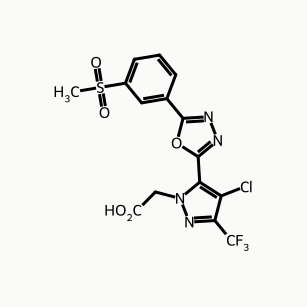 CS(=O)(=O)c1cccc(-c2nnc(-c3c(Cl)c(C(F)(F)F)nn3CC(=O)O)o2)c1